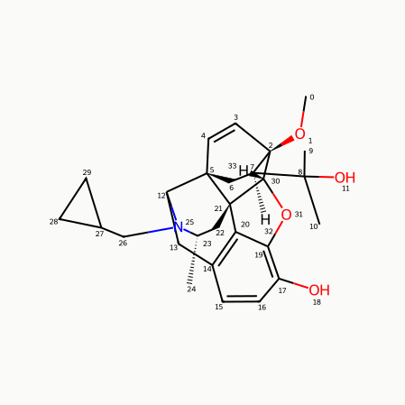 CO[C@]12C=C[C@@]3(C[C@@H]1C(C)(C)O)C1Cc4ccc(O)c5c4[C@@]3(C[C@H](C)N1CC1CC1)[C@H]2O5